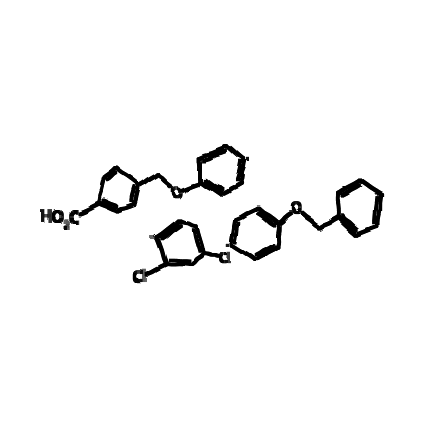 Clc1[c]ccc(Cl)c1.O=C(O)c1ccc(COc2cc[c]cc2)cc1.[c]1ccc(OCc2ccccc2)cc1